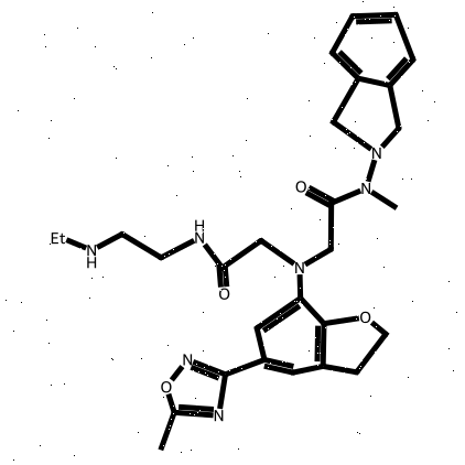 CCNCCNC(=O)CN(CC(=O)N(C)N1Cc2ccccc2C1)c1cc(-c2noc(C)n2)cc2c1OCC2